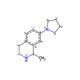 CC1NCCc2ccc(N3CCCC3)cc21